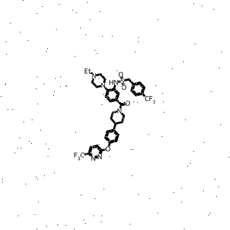 CCN1CCN(c2ccc(C(=O)N3CCC(c4ccc(Oc5ccc(C(F)(F)F)nn5)cc4)CC3)cc2NS(=O)(=O)Cc2ccc(C(F)(F)F)cc2)CC1